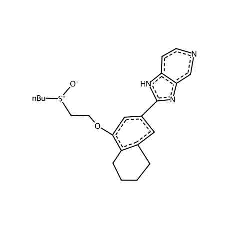 CCCC[S+]([O-])CCOc1cc(-c2nc3cnccc3[nH]2)cc2c1CCCC2